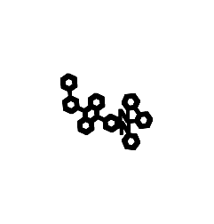 c1ccc(-c2cccc(-c3c4ccccc4c(-c4ccc5c(c4)nc(-c4ccccc4-c4ccccc4)n5-c4ccccc4)c4ccccc34)c2)cc1